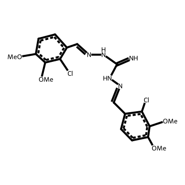 COc1ccc(C=NNC(=N)NN=Cc2ccc(OC)c(OC)c2Cl)c(Cl)c1OC